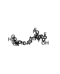 C#Cc1c(F)ccc2cc(O)cc(-c3ncc4c(N5CCCC(F)(F)C5)nc(OCC5(CN6CCN(CC7CCN(c8ccc9c(c8)n(C)c(=O)n9C8CCC(=O)NC8=O)CC7)CC6)CC5)nc4c3F)c12